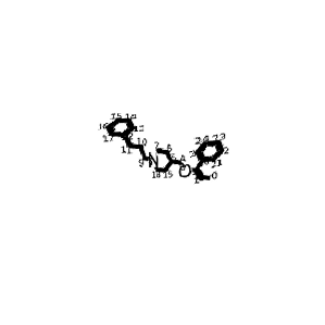 CC=C(OCC1CCN(CCCc2ccccc2)CC1)c1ccccc1